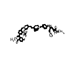 CNC(=O)CCC(C=O)Nc1ccc(N2CCC(CCC3CCN(Cc4ccc(-c5cn(C)c(=O)c6ccc(F)cc56)cc4OC(F)(F)F)CC3)CC2)cc1